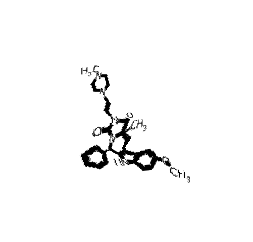 COc1ccc2[nH]c3c(c2c1)C[C@@]1(C)C(=O)N(CCN2CCN(C)CC2)C(=O)N1[C@@H]3c1ccccc1